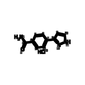 Cl.NC(=O)c1ccc(-c2cc[nH]n2)cc1